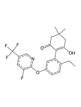 CCc1ccc(Oc2ncc(C(F)(F)F)cc2F)cc1C1=C(O)CC(C)(C)CC1=O